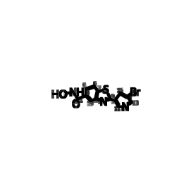 O=C(NO)c1ccc2sc(-c3cncc(Br)c3)nc2c1